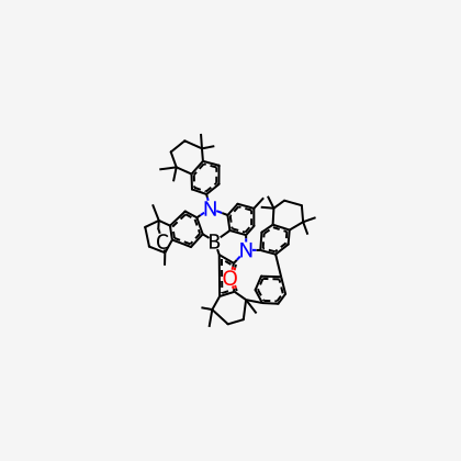 Cc1cc2c3c(c1)N1c4cc5c(cc4-c4ccc(cc4)C4(C)CCC(C)(C)c6c4oc1c6B3c1cc3c(cc1N2c1ccc2c(c1)C(C)(C)CCC2(C)C)C1(C)CCC3(C)CC1)C(C)(C)CCC5(C)C